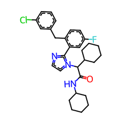 O=C(NC1CCCCC1)C(C1CCCCC1)n1ccnc1-c1cc(F)ccc1Cc1cccc(Cl)c1